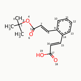 CC(C)(C)OC(=O)/C=C/c1ccccc1/C=C/C(=O)O